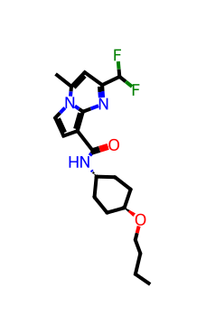 CCCCO[C@H]1CC[C@H](NC(=O)c2ccn3c(C)cc(C(F)F)nc23)CC1